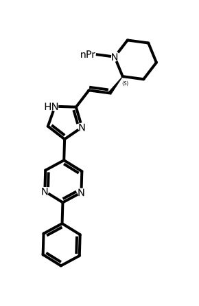 CCCN1CCCC[C@H]1C=Cc1nc(-c2cnc(-c3ccccc3)nc2)c[nH]1